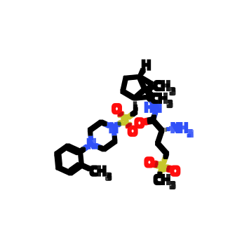 Cc1ccccc1N1CCN(S(=O)(=O)C[C@@]23CC[C@H](CC2NC(=O)[C@H](N)CCS(C)(=O)=O)C3(C)C)CC1